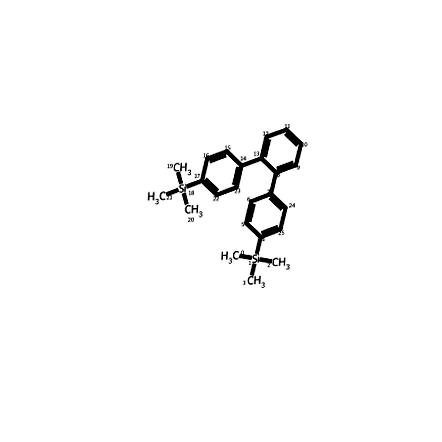 C[Si](C)(C)c1ccc(-c2ccccc2-c2ccc([Si](C)(C)C)cc2)cc1